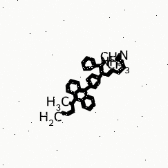 C=C/C=C\C(C)c1c2ccccc2c(-c2ccc(C(/C=C(C)/C=C\C3=NC=C3)=C(/NC)c3ccccc3)cc2)c2ccccc12